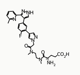 Cc1cccc(-c2n[nH]cc2-c2ccc(F)c(-c3cnn(CC(=O)N(C)CCN(C)C(=O)[C@@H](N)CCC(=O)O)c3)c2)n1